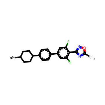 CCCC1CCC(c2ccc(-c3cc(F)c(-c4noc(C(F)(F)F)n4)c(F)c3)cc2)CC1